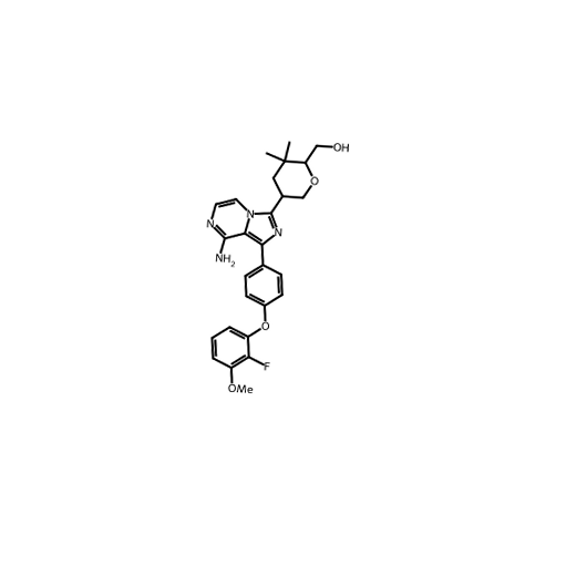 COc1cccc(Oc2ccc(-c3nc(C4COC(CO)C(C)(C)C4)n4ccnc(N)c34)cc2)c1F